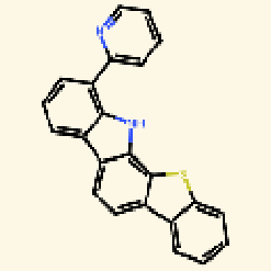 c1ccc(-c2cccc3c2[nH]c2c3ccc3c4ccccc4sc32)nc1